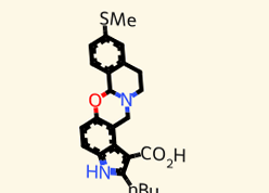 CCCCc1[nH]c2ccc3c(c2c1C(=O)O)CN1CCc2cc(SC)ccc2C1O3